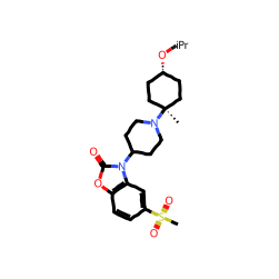 CC(C)O[C@H]1CC[C@](C)(N2CCC(n3c(=O)oc4ccc(S(C)(=O)=O)cc43)CC2)CC1